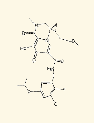 COC[C@H]1C[C@@]12CN(C)C(=O)c1c(O)c(=O)c(C(=O)NCc3cc(OC(C)C)cc(Cl)c3F)cn12